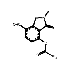 CN1Cc2c(C=O)ccc(OC(N)=O)c2C1=O